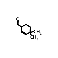 CC1(C)C=CC(C=O)CC1